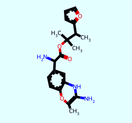 CC1=C(N)Nc2cc(C(N)C(=O)OC(C)(C)C(C)c3ccco3)ccc2O1